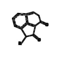 O=C1CC=c2cccc3c2=C1C(=O)C3Br